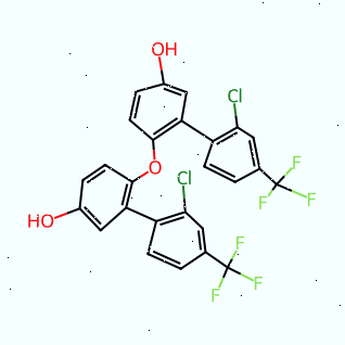 Oc1ccc(Oc2ccc(O)cc2-c2ccc(C(F)(F)F)cc2Cl)c(-c2ccc(C(F)(F)F)cc2Cl)c1